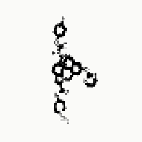 CN1CCC(NC(=O)c2cc3ccc(C(=N)NC(=O)Oc4ccc(F)cc4)cc3n2Cc2cc(Oc3ncccn3)cc3ccccc23)CC1